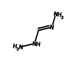 NN=CNN